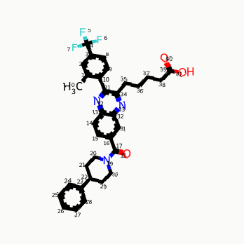 Cc1cc(C(F)(F)F)ccc1-c1nc2ccc(C(=O)N3CCC(c4ccccc4)CC3)cc2nc1CCCCC(=O)O